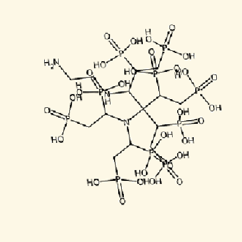 NCCNC(C(CP(=O)(O)O)P(=O)(O)O)C(C(CP(=O)(O)O)P(=O)(O)O)(C(CP(=O)(O)O)P(=O)(O)O)N(C(CP(=O)(O)O)P(=O)(O)O)C(CP(=O)(O)O)P(=O)(O)O